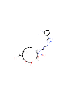 B[C@@]1(C(C)OC)CC[C@H](C)CCN[C@@H](C)[C@H]2N(C/C=C/Cn3cc(-c4cccc(N)c4)nn3)C(=O)O[C@]2(C)[C@@H](CC)OC(=O)[C@H](C)C(=O)[C@@H]1C